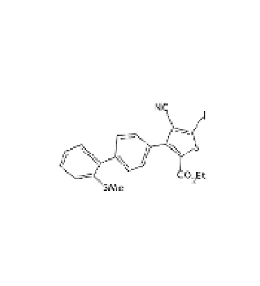 CCOC(=O)c1sc(I)c(C#N)c1-c1ccc(-c2ccccc2SC)cc1